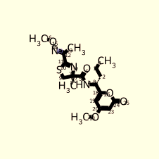 CCC[C@@H](NC(=O)[C@]1(C)CSC(/C(C)=N/OC)=N1)c1cc(OC)cc(=O)o1